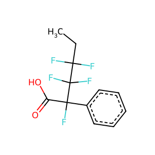 CCC(F)(F)C(F)(F)C(F)(C(=O)O)c1ccccc1